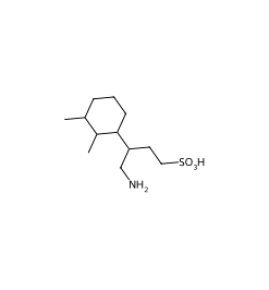 CC1CCCC(C(CN)CCS(=O)(=O)O)C1C